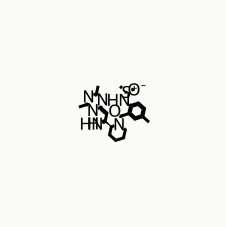 CC1=N/C(=C/C(=N)[C@@H]2CCCCN2C(=O)c2cc(C)ccc2N[S+](C)[O-])NC(C)=N1